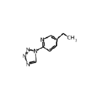 CCc1ccc(-n2cnnn2)nc1